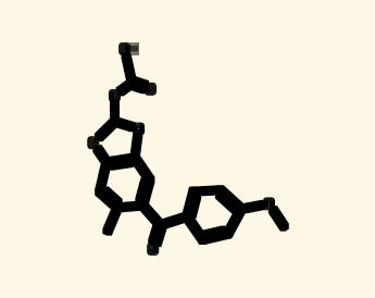 COc1ccc(C(=O)c2cc3c(cc2C)OC(OC(=O)O)O3)cc1